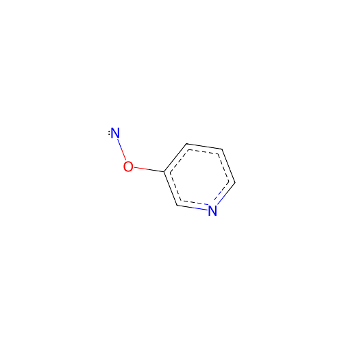 [N]Oc1cccnc1